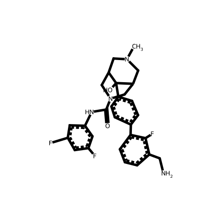 CN1CC2CN(C(=O)Nc3cc(F)cc(F)c3)CC(C1)C2(O)c1ccc(-c2cccc(CN)c2F)cc1